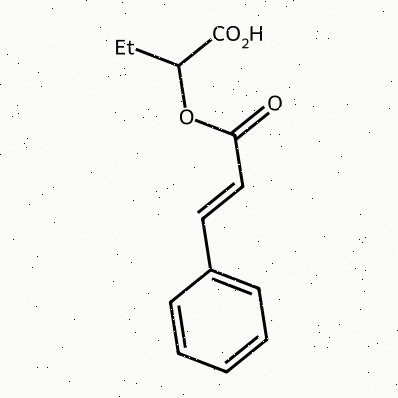 CCC(OC(=O)C=Cc1ccccc1)C(=O)O